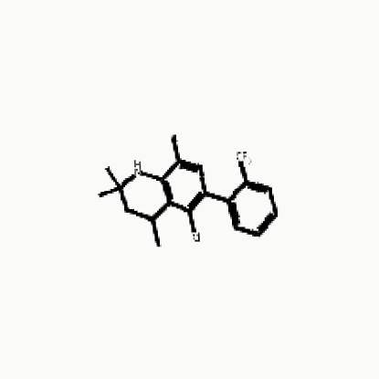 Cc1cc(-c2ccccc2C(F)(F)F)c(Cl)c2c1NC(C)(C)CC2C